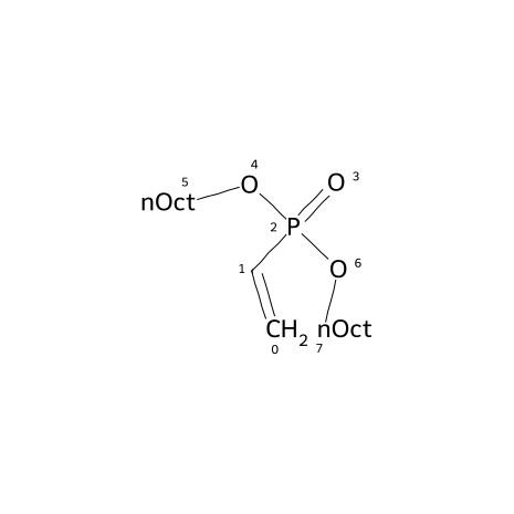 C=CP(=O)(OCCCCCCCC)OCCCCCCCC